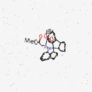 COC(=O)C[C@@H](C(=O)OC(C)(C)C)N(c1ccccc1)C1(c2ccccc2)c2ccccc2-c2ccccc21